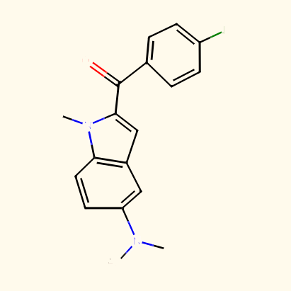 CC(=O)N(C)c1ccc2c(c1)cc(C(=O)c1ccc(F)cc1)n2C